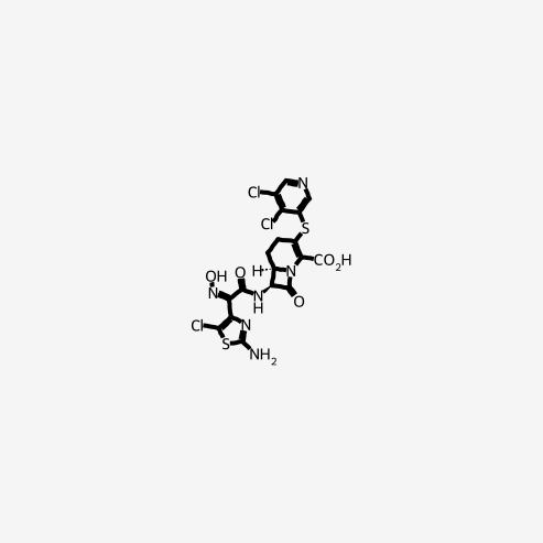 Nc1nc(/C(=N/O)C(=O)N[C@@H]2C(=O)N3C(C(=O)O)=C(Sc4cncc(Cl)c4Cl)CC[C@H]23)c(Cl)s1